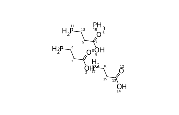 O=C(O)CCP.O=C(O)CCP.O=C(O)CCP.P